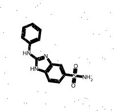 NS(=O)(=O)c1ccc2[nH]c(Nc3ccccc3)nc2c1